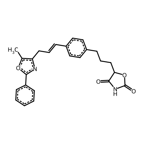 Cc1oc(-c2ccccc2)nc1C/C=C/c1ccc(CCCC2OC(=O)NC2=O)cc1